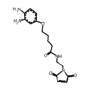 Nc1ccc(OCCCCC(=O)NCCN2C(=O)C=CC2=O)cc1N